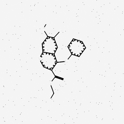 CCOC(=O)c1cnc2cc(OC)c(Br)cc2c1Nc1ccccc1